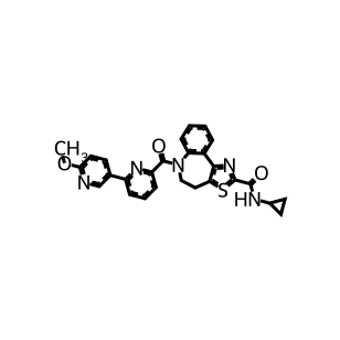 COc1ccc(-c2cccc(C(=O)N3CCc4sc(C(=O)NC5CC5)nc4-c4ccccc43)n2)cn1